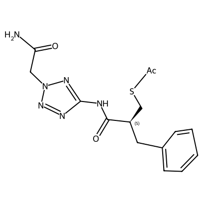 CC(=O)SC[C@@H](Cc1ccccc1)C(=O)Nc1nnn(CC(N)=O)n1